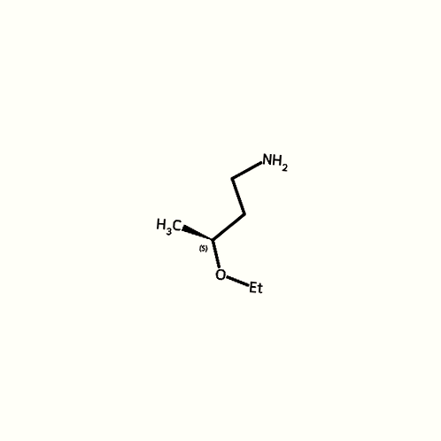 CCO[C@@H](C)CCN